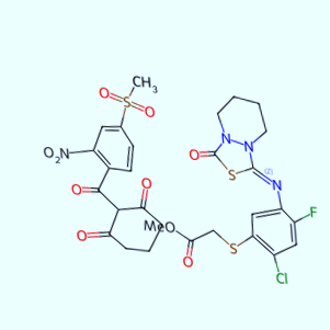 COC(=O)CSc1cc(/N=c2\sc(=O)n3n2CCCC3)c(F)cc1Cl.CS(=O)(=O)c1ccc(C(=O)C2C(=O)CCCC2=O)c([N+](=O)[O-])c1